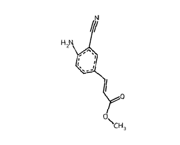 COC(=O)C=Cc1ccc(N)c(C#N)c1